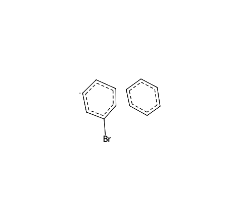 Brc1c[c]ccc1.c1ccccc1